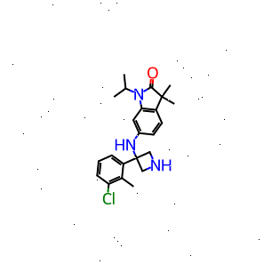 Cc1c(Cl)cccc1C1(Nc2ccc3c(c2)N(C(C)C)C(=O)C3(C)C)CNC1